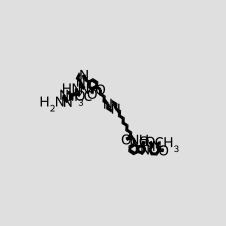 COc1c(OCCCN2CCN(CCCCCCCC(=O)Nc3cccc4c3C(=O)N(C3CCC(=O)N(C)C3=O)C4)CC2)ccc2c1N=C(NC(=O)c1cnc(N)nc1)N1CCN=C21